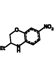 CCC1COc2cc([N+](=O)[O-])ccc2N1